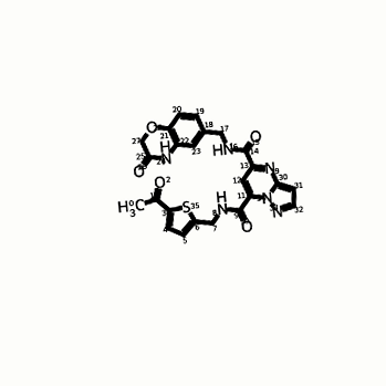 CC(=O)c1ccc(CNC(=O)c2cc(C(=O)NCc3ccc4c(c3)NC(=O)CO4)nc3ccnn23)s1